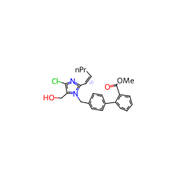 CCC/C=C\c1nc(Cl)c(CO)n1Cc1ccc(-c2ccccc2C(=O)OC)cc1